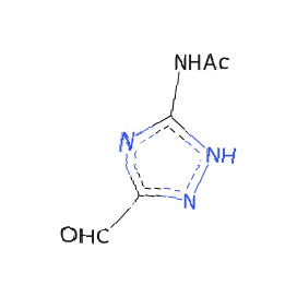 CC(=O)Nc1nc(C=O)n[nH]1